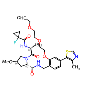 CO[C@@H]1C[C@@H](C(=O)NCc2ccc(-c3scnc3C)cc2OCCOCCOCC=O)N(C(=O)[C@@H](NC(=O)C2(F)CC2)C(C)(C)C)C1